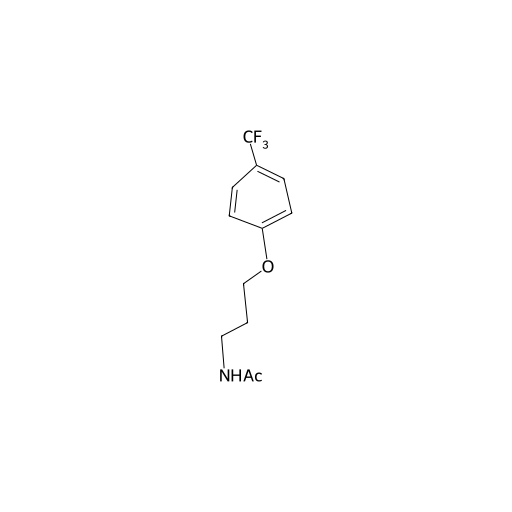 CC(=O)NCCCOc1ccc(C(F)(F)F)cc1